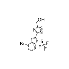 OCc1nc(-c2cc3c(Br)cccn3c2SC(F)(F)F)ns1